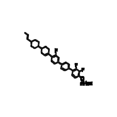 C/C=C/C1CCC(C2CC=C(c3ccc(-c4ccc(-c5ccc(OCCCCCC)c(F)c5F)cc4)cc3F)CC2)CC1